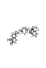 Cn1c(CN2CCCN(CCOc3ccc4c(c3)CCC(=O)N4)CC2)nc2ccccc21